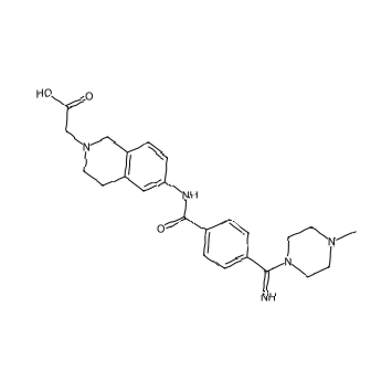 CN1CCN(C(=N)c2ccc(C(=O)Nc3ccc4c(c3)CCN(CC(=O)O)C4)cc2)CC1